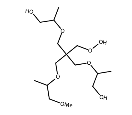 COCC(C)OCC(COO)(COC(C)CO)COC(C)CO